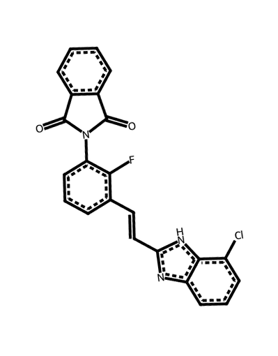 O=C1c2ccccc2C(=O)N1c1cccc(/C=C/c2nc3cccc(Cl)c3[nH]2)c1F